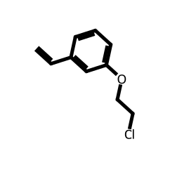 C=Cc1cccc(OCCCl)c1